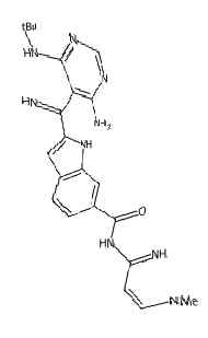 CN/C=C\C(=N)NC(=O)c1ccc2cc(C(=N)c3c(N)ncnc3NC(C)(C)C)[nH]c2c1